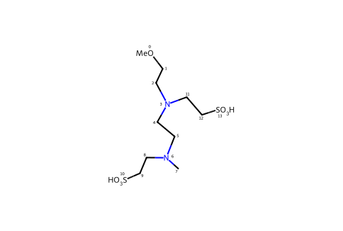 COCCN(CCN(C)CCS(=O)(=O)O)CCS(=O)(=O)O